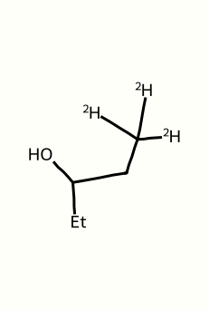 [2H]C([2H])([2H])CC(O)CC